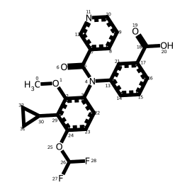 COc1c(N(C(=O)c2cccnc2)c2cccc(C(=O)O)c2)ccc(OC(F)F)c1C1CC1